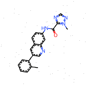 Cc1ccccc1-c1cnc2cc(NC(=O)c3ncnn3C)ccc2c1